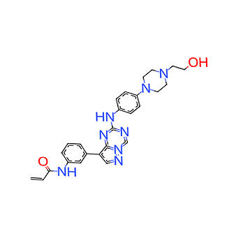 C=CC(=O)Nc1cccc(-c2cnn3cnc(Nc4ccc(N5CCN(CCO)CC5)cc4)nc23)c1